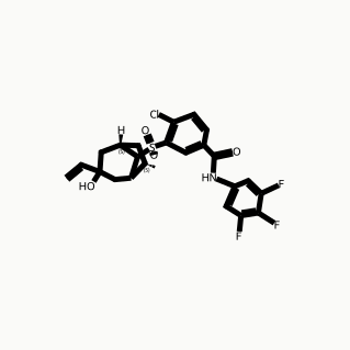 C=CC1(O)CC2C(S(=O)(=O)c3cc(C(=O)Nc4cc(F)c(F)c(F)c4)ccc3Cl)[C@@H](C[C@@H]2C)C1